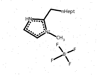 CCCCCCCCc1[nH]cc[n+]1C.F[B-](F)(F)F